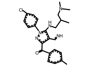 Cc1ccc(C(=O)c2nn(-c3ccc(Cl)cc3)c(NCC(C)CN(C)C)c2C=N)cc1